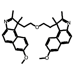 COc1ccc2c3c(ccc2c1)N=C(C)C3(C)CCOCCC1(C)C(C)=Nc2ccc3cc(OC)ccc3c21